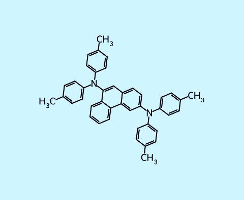 Cc1ccc(N(c2ccc(C)cc2)c2ccc3cc(N(c4ccc(C)cc4)c4ccc(C)cc4)c4ccccc4c3c2)cc1